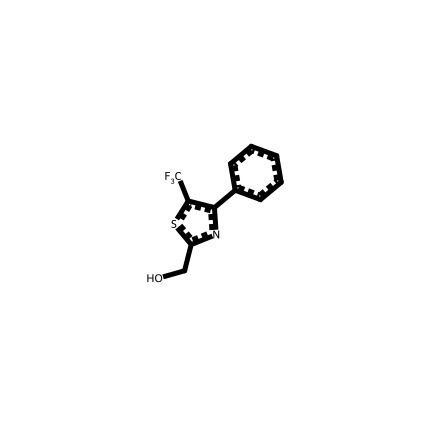 OCc1nc(-c2ccccc2)c(C(F)(F)F)s1